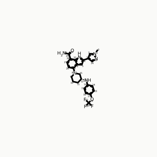 Cn1cc(-c2cc3c(N4CCC[C@@H](Nc5ccc(OC(F)(F)F)cc5)C4)ccc(C(N)=O)c3[nH]2)cn1